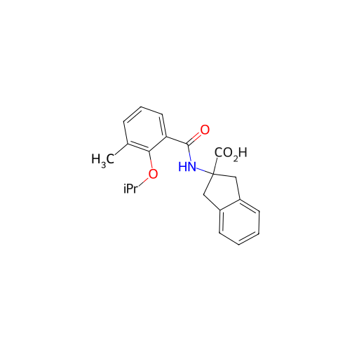 Cc1cccc(C(=O)NC2(C(=O)O)Cc3ccccc3C2)c1OC(C)C